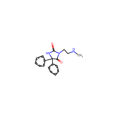 CNCCN1C(=O)NC(c2ccccc2)(c2ccccc2)C1=O